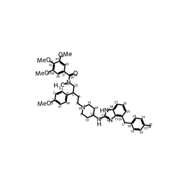 COc1ccc(C(CCN2CCC(Nc3nc4c(Cc5ccc(F)cc5)cccc4[nH]3)CC2)CN(C)C(=O)c2cc(OC)c(OC)c(OC)c2)cc1